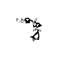 Cc1cc(C(=O)Nc2cccc3c(=O)n(Cc4ccc(OC(F)(F)F)cc4)ccc23)ccc1F